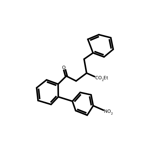 CCOC(=O)C(CC(=O)c1ccccc1-c1ccc([N+](=O)[O-])cc1)Cc1ccccc1